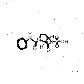 O=C(Nc1ccccc1)N1CC[C@@H]2[C@H]1C(=O)N2S(=O)(=O)O